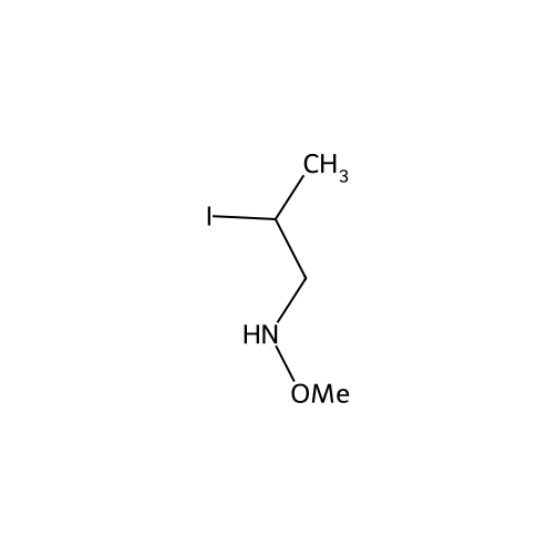 CONCC(C)I